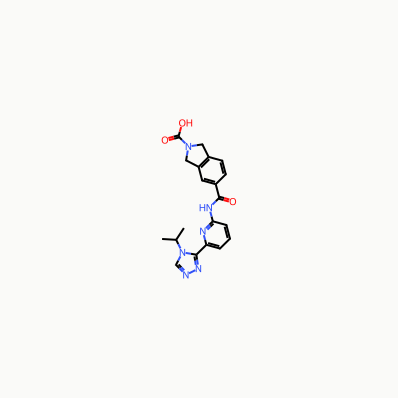 CC(C)n1cnnc1-c1cccc(NC(=O)c2ccc3c(c2)CN(C(=O)O)C3)n1